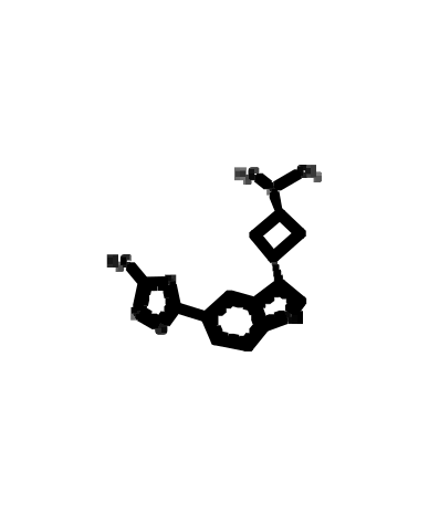 Cc1noc(-c2ccc3[nH]cc([C@H]4C[C@H](N(C)C)C4)c3c2)n1